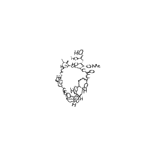 C=C1C2C[C@@H]3O[C@H](CC(O)CO)[C@H](OC)C3CC(=O)CC3CCC4O[C@H]5C6O[C@]7(CCC8CC(=C)[C@H](CC[C@@H](C[C@H]1C)O2)O8)C[C@H]6O[C@H]5C(O7)[C@H]4O3